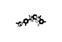 Cc1cc(F)cc(C(C)n2ccc3c(nc(-c4ccc(-n5cnc(C)c5)c(C)c4)n3C)c2=O)c1